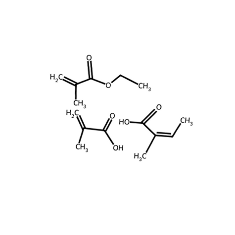 C=C(C)C(=O)O.C=C(C)C(=O)OCC.CC=C(C)C(=O)O